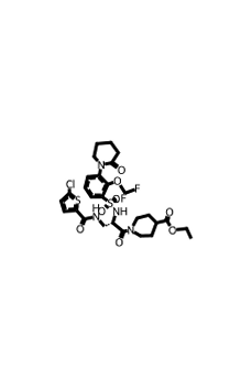 CCOC(=O)C1CCN(C(=O)[C@H](CNC(=O)c2ccc(Cl)s2)NS(=O)(=O)c2cccc(N3CCCCC3=O)c2OC(F)F)CC1